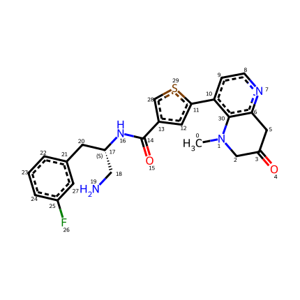 CN1CC(=O)Cc2nccc(-c3cc(C(=O)N[C@H](CN)Cc4cccc(F)c4)cs3)c21